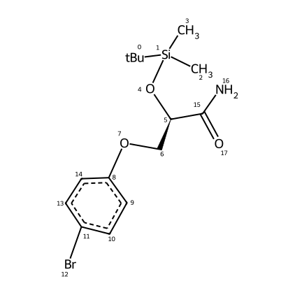 CC(C)(C)[Si](C)(C)O[C@H](COc1ccc(Br)cc1)C(N)=O